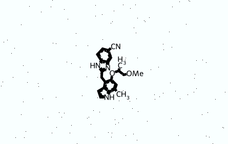 COCC(C)Oc1cc(C)c2[nH]ccc2c1Cc1nc2cc(C#N)ccc2[nH]1